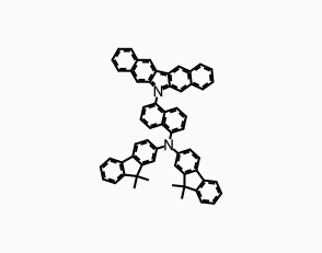 CC1(C)c2ccccc2-c2ccc(N(c3ccc4c(c3)C(C)(C)c3ccccc3-4)c3cccc4c(-n5c6cc7ccccc7cc6c6cc7ccccc7cc65)cccc34)cc21